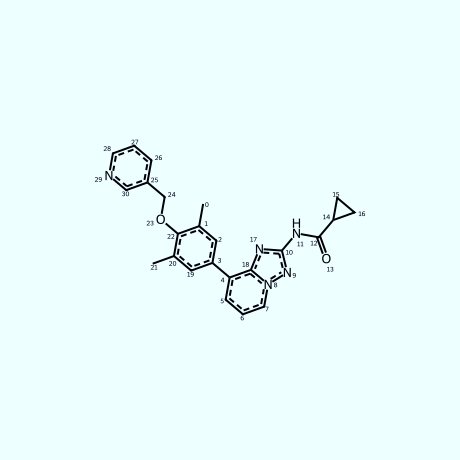 Cc1cc(-c2cccn3nc(NC(=O)C4CC4)nc23)cc(C)c1OCc1cccnc1